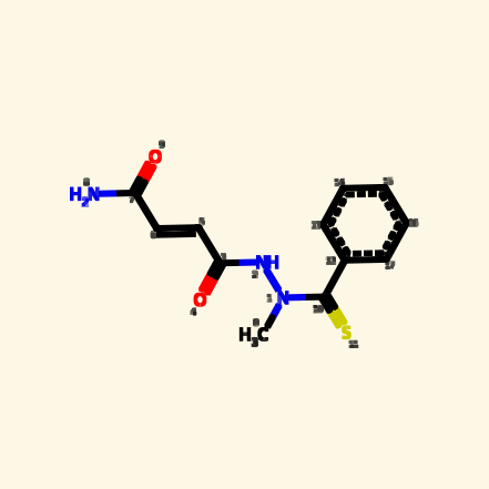 CN(NC(=O)/C=C/C(N)=O)C(=S)c1ccccc1